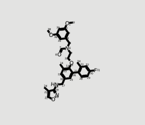 COc1cc(CN(C=O)CCOc2c(C)cc(CNc3nocc3C)cc2-c2ccc(F)cc2C)cc(OC)c1